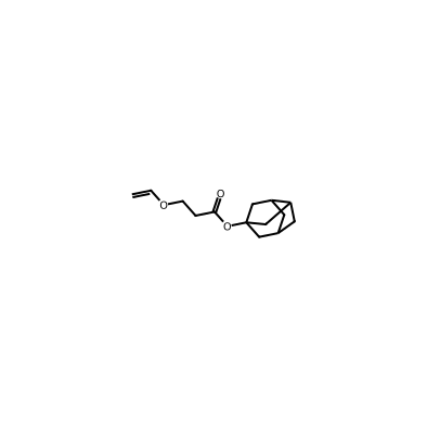 C=COCCC(=O)OC12CC3CC(C1)C(C3)C2